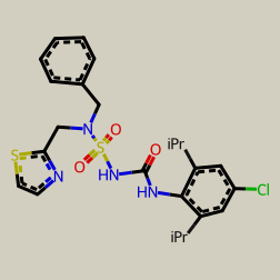 CC(C)c1cc(Cl)cc(C(C)C)c1NC(=O)NS(=O)(=O)N(Cc1ccccc1)Cc1nccs1